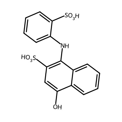 O=S(=O)(O)c1ccccc1Nc1c(S(=O)(=O)O)cc(O)c2ccccc12